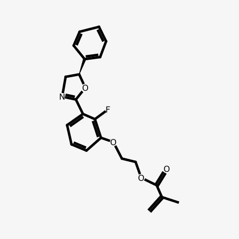 C=C(C)C(=O)OCCOc1cccc(C2=NC[C@@H](c3ccccc3)O2)c1F